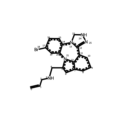 C=CCNCc1cc2cccc3c4n(c5ccc(Br)cc5n1c23)CNN=4